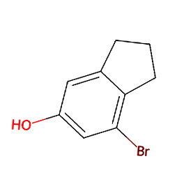 Oc1cc(Br)c2c(c1)CCC2